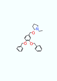 CCN1CCC[C@H]1OCc1ccc(OCc2ccccc2)c(OCc2ccccc2)c1